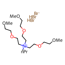 Br.Br.CCC[N+](CCOCCOC)(CCOCCOC)CCOCCOC.[Br-]